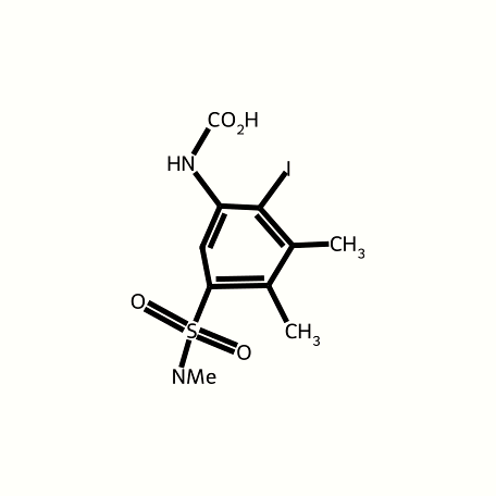 CNS(=O)(=O)c1cc(NC(=O)O)c(I)c(C)c1C